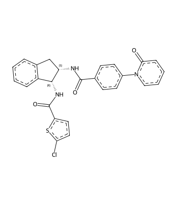 O=C(N[C@H]1Cc2ccccc2[C@H]1NC(=O)c1ccc(Cl)s1)c1ccc(-n2ccccc2=O)cc1